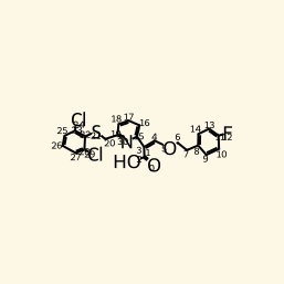 O=C(O)C(=COCCc1ccc(F)cc1)c1cccc(CSc2c(Cl)cccc2Cl)n1